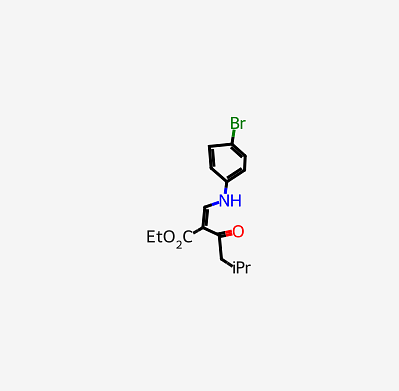 CCOC(=O)C(=CNc1ccc(Br)cc1)C(=O)CC(C)C